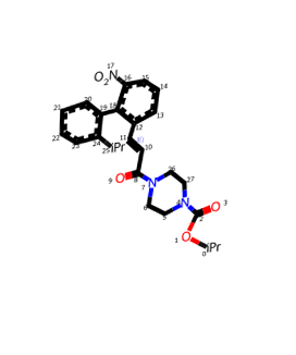 CC(C)OC(=O)N1CCN(C(=O)/C=C/c2cc[c]c([N+](=O)[O-])c2-c2ccccc2C(C)C)CC1